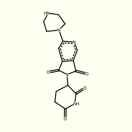 O=C1CCC(N2C(=O)c3cnc(N4CCNCC4)cc3C2=O)C(=O)N1